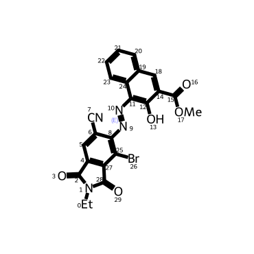 CCN1C(=O)c2cc(C#N)c(/N=N/c3c(O)c(C(=O)OC)cc4ccccc34)c(Br)c2C1=O